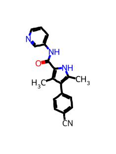 Cc1[nH]c(C(=O)Nc2cccnc2)c(C)c1-c1ccc(C#N)cc1